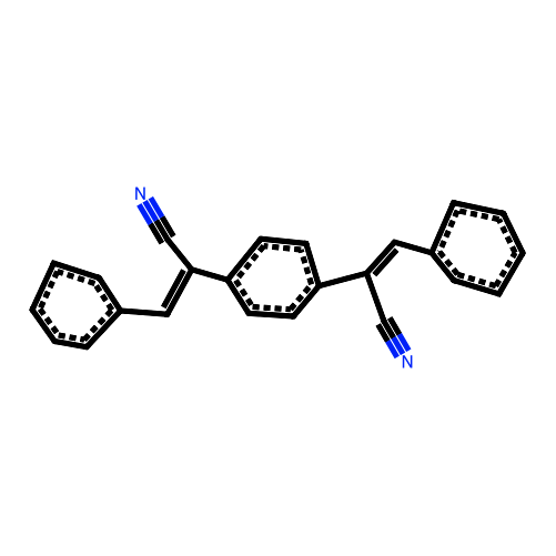 N#C/C(=C\c1ccccc1)c1ccc(/C(C#N)=C/c2ccccc2)cc1